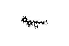 ClCCCCNCc1cncc(-c2ccccc2)c1